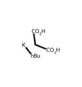 CCC[CH2][K].O=C(O)CC(=O)O